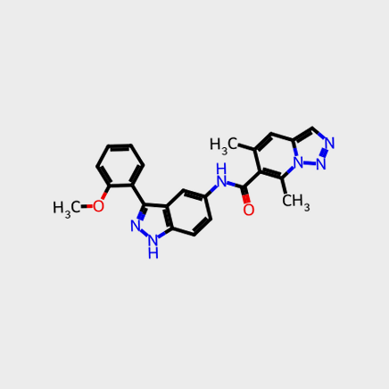 COc1ccccc1-c1n[nH]c2ccc(NC(=O)c3c(C)cc4cnnn4c3C)cc12